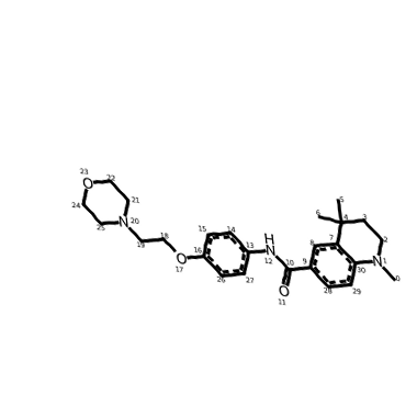 CN1CCC(C)(C)c2cc(C(=O)Nc3ccc(OCCN4CCOCC4)cc3)ccc21